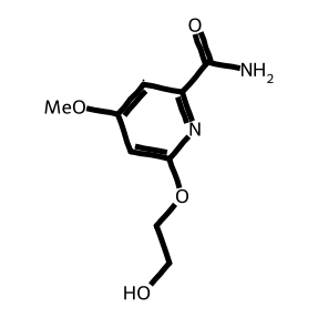 COc1[c]c(C(N)=O)nc(OCCO)c1